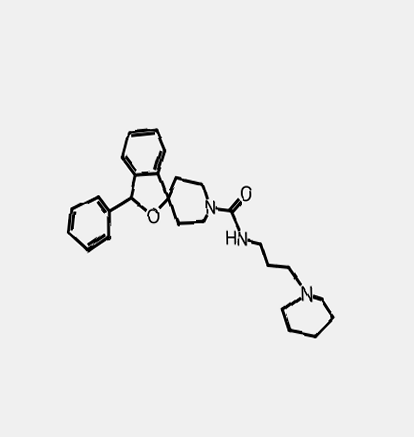 O=C(NCCCN1CCCCC1)N1CCC2(CC1)OC(c1ccccc1)c1ccccc12